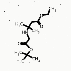 CCOC(=O)CC(C)(C)NCC(=O)OC(C)(C)C